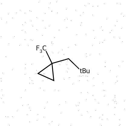 CC(C)(C)CC1(C(F)(F)F)CC1